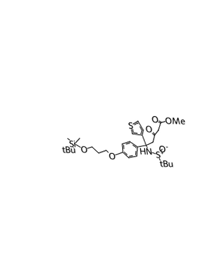 COC(=O)CC(=O)CC(N[S+]([O-])C(C)(C)C)(c1ccc(OCCCO[Si](C)(C)C(C)(C)C)cc1)c1ccsc1